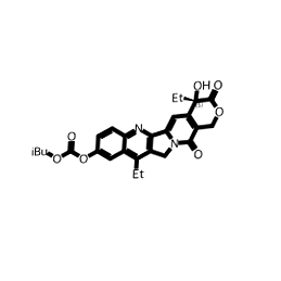 CCc1c2c(nc3ccc(OC(=O)OC(C)CC)cc13)-c1cc3c(c(=O)n1C2)COC(=O)[C@]3(O)CC